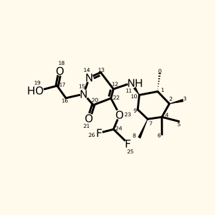 C[C@@H]1[C@@H](C)C(C)(C)[C@@H](C)C[C@H]1Nc1cnn(CC(=O)O)c(=O)c1OC(F)F